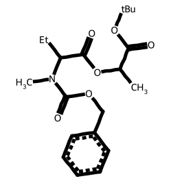 CCC(C(=O)OC(C)C(=O)OC(C)(C)C)N(C)C(=O)OCc1ccccc1